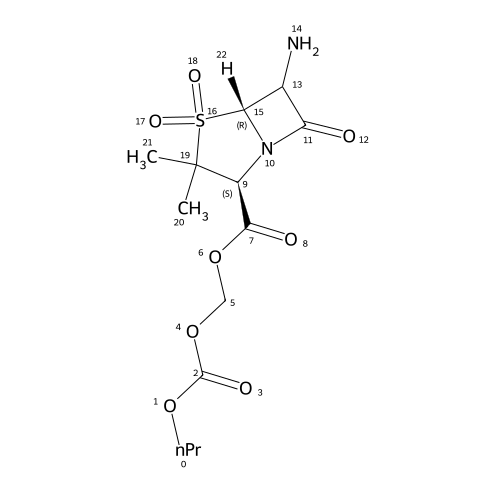 CCCOC(=O)OCOC(=O)[C@@H]1N2C(=O)C(N)[C@H]2S(=O)(=O)C1(C)C